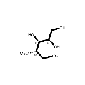 CO[C@@H](CC(C)(C)C)[C@@H](O)[C@H](O)CO